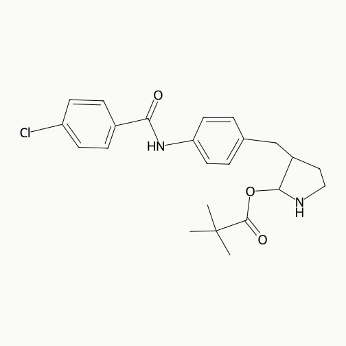 CC(C)(C)C(=O)OC1NCCC1Cc1ccc(NC(=O)c2ccc(Cl)cc2)cc1